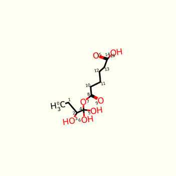 CCC(O)C(O)(O)OC(=O)CCCCC(=O)O